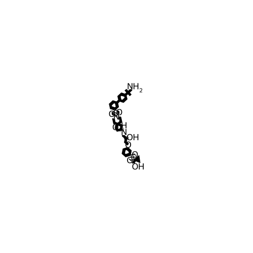 CC(C)(CN)c1ccc(-c2cccc(S(=O)(=O)N3CCC4(CC3)C[C@@H](NC[C@H](O)COc3cccc(S(=O)(=O)C5(CO)CC5)c3)CO4)c2)cc1